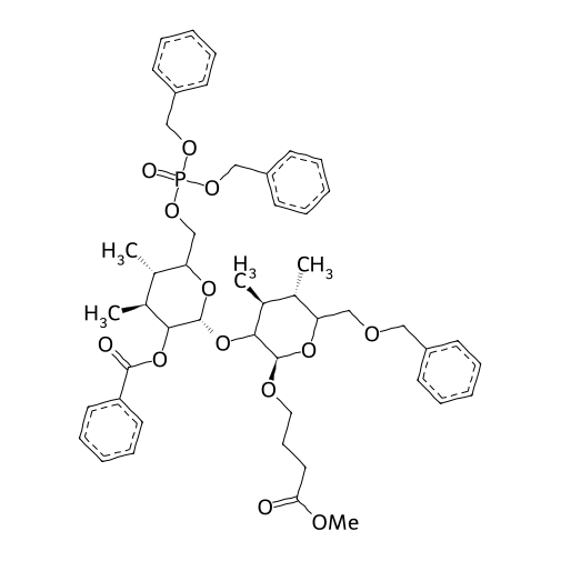 COC(=O)CCCO[C@@H]1OC(COCc2ccccc2)[C@@H](C)[C@H](C)C1O[C@H]1OC(COP(=O)(OCc2ccccc2)OCc2ccccc2)[C@@H](C)[C@H](C)C1OC(=O)c1ccccc1